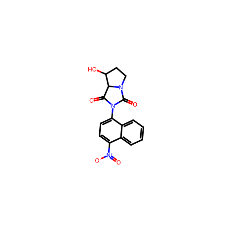 O=C1C2C(O)CCN2C(=O)N1c1ccc([N+](=O)[O-])c2ccccc12